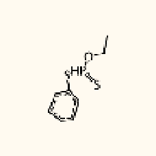 CCO[PH](=S)Sc1ccccc1